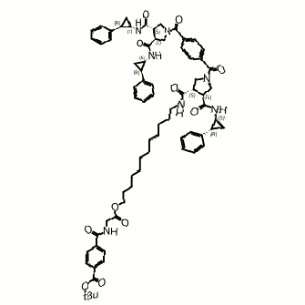 CC(C)(C)OC(=O)c1ccc(C(=O)NCC(=O)OCCCCCCCCCCCCNC(=O)[C@@H]2CN(C(=O)c3ccc(C(=O)N4C[C@@H](C(=O)N[C@H]5C[C@@H]5c5ccccc5)[C@H](C(=O)N[C@H]5C[C@@H]5c5ccccc5)C4)cc3)C[C@H]2C(=O)N[C@H]2C[C@@H]2c2ccccc2)cc1